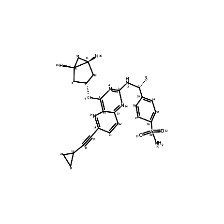 C[C@@H](Nc1nc(O[C@@H]2C[C@@H]3C[C@@H]3C2)c2nc(C#CC3CC3)ccc2n1)c1ccc(S(N)(=O)=O)cc1